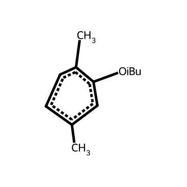 [CH2]C(C)COc1cc(C)ccc1C